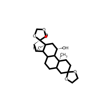 C[C@]12CCC3(CC1CCC1C2[C@@H](O)C[C@@]2(C)C1CC[C@@]21OCOC12COCO2)OCCO3